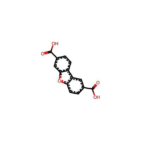 O=C(O)c1ccc2c(c1)oc1ccc(C(=O)O)cc12